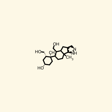 CC12CCC([C@@]3(C)CC[C@H](O)C[C@@H]3CO)C(CO)C1Cc1cn[nH]c12